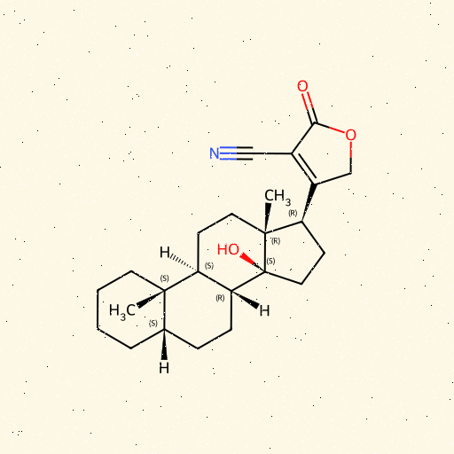 C[C@]12CCCC[C@H]1CC[C@@H]1[C@@H]2CC[C@]2(C)[C@@H](C3=C(C#N)C(=O)OC3)CC[C@]12O